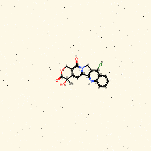 CC[C@@]1(O)C(=O)OCc2c1cc1n(c2=O)Cc2c-1nc1ccccc1c2Cl